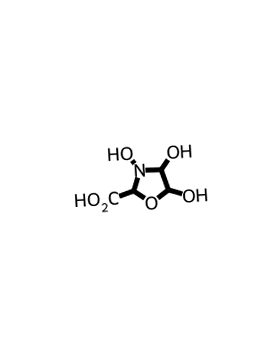 O=C(O)C1OC(O)C(O)N1O